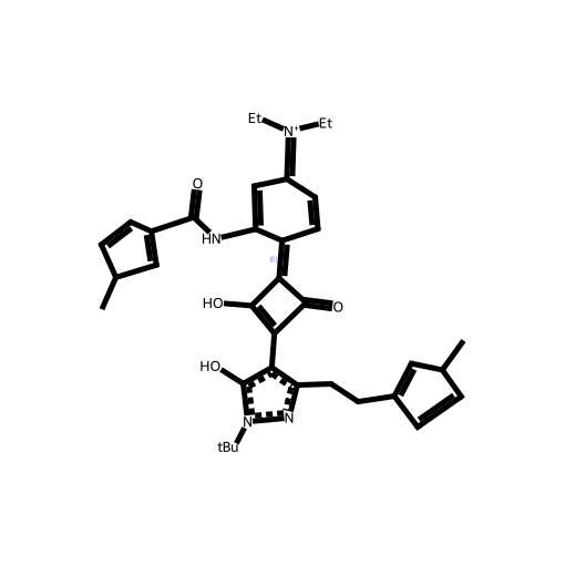 CC[N+](CC)=C1C=C/C(=C2\C(=O)C(c3c(CCC4=CC(C)C=C4)nn(C(C)(C)C)c3O)=C2O)C(NC(=O)C2=CC(C)C=C2)=C1